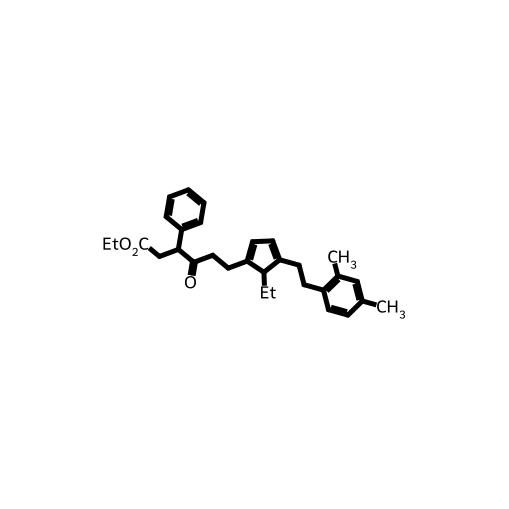 CCOC(=O)CC(C(=O)CCC1=CC=C(CCc2ccc(C)cc2C)C1CC)c1ccccc1